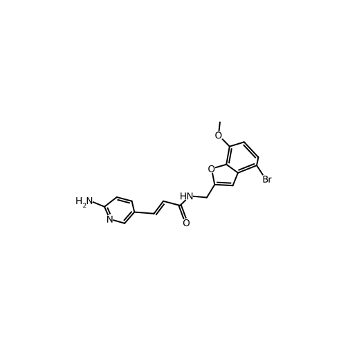 COc1ccc(Br)c2cc(CNC(=O)/C=C/c3ccc(N)nc3)oc12